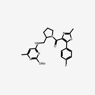 CSc1nc(C)cc(NCC2CCCN2C(=O)c2nc(C)sc2-c2ccc(F)cc2)n1